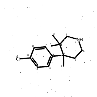 CC1(C)CNCCC1(C)c1ccc(Cl)cc1